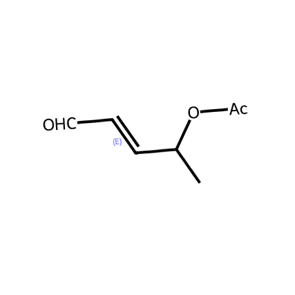 CC(=O)OC(C)/C=C/C=O